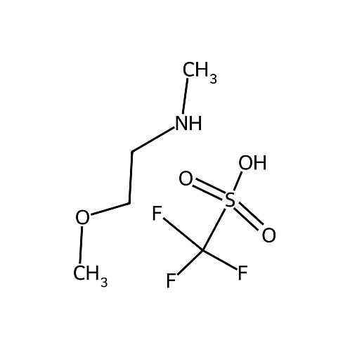 CNCCOC.O=S(=O)(O)C(F)(F)F